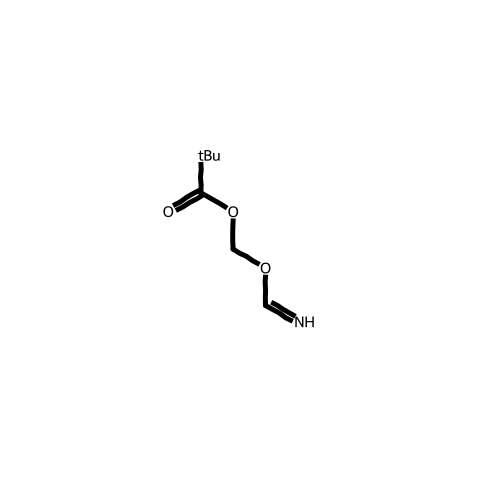 CC(C)(C)C(=O)OCOC=N